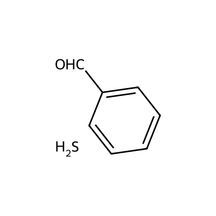 O=Cc1ccccc1.S